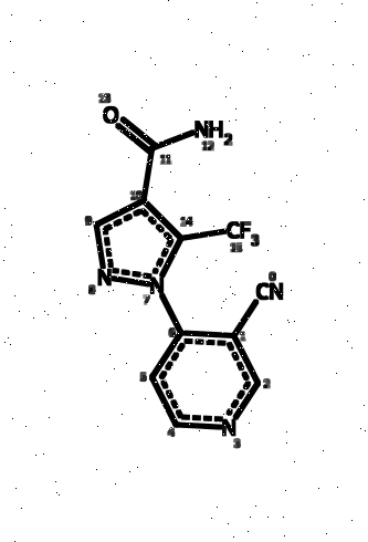 N#Cc1cnccc1-n1ncc(C(N)=O)c1C(F)(F)F